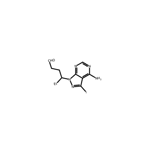 CCC(CCC=O)n1nc(I)c2c(N)ncnc21